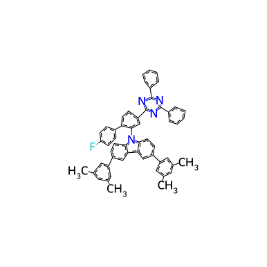 Cc1cc(C)cc(-c2ccc3c(c2)c2cc(-c4cc(C)cc(C)c4)ccc2n3-c2cc(-c3nc(-c4ccccc4)nc(-c4ccccc4)n3)ccc2-c2ccc(F)cc2)c1